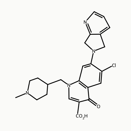 CN1CCC(Cn2cc(C(=O)O)c(=O)c3cc(Cl)c(N4Cc5cccnc5C4)cc32)CC1